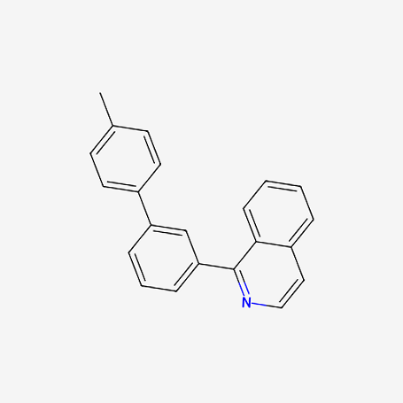 Cc1ccc(-c2cccc(-c3nccc4ccccc34)c2)cc1